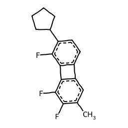 Cc1cc2c(c(F)c1F)-c1c-2ccc(C2CCCC2)c1F